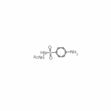 CC(=O)NNS(=O)(=O)c1ccc(N)cc1